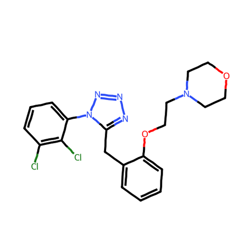 Clc1cccc(-n2nnnc2Cc2ccccc2OCCN2CCOCC2)c1Cl